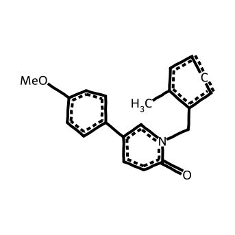 COc1ccc(-c2ccc(=O)n(Cc3ccccc3C)c2)cc1